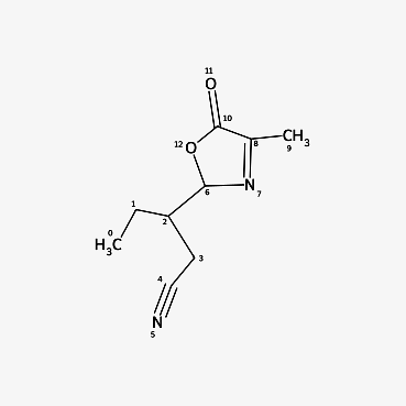 CCC(CC#N)C1N=C(C)C(=O)O1